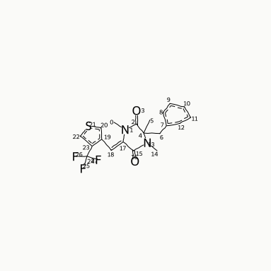 CN1C(=O)C(C)(Cc2ccccc2)N(C)C(=O)/C1=C/c1cscc1C(F)(F)F